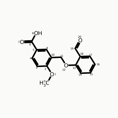 COc1ccc(C(=O)O)cc1COc1ccccc1C=O